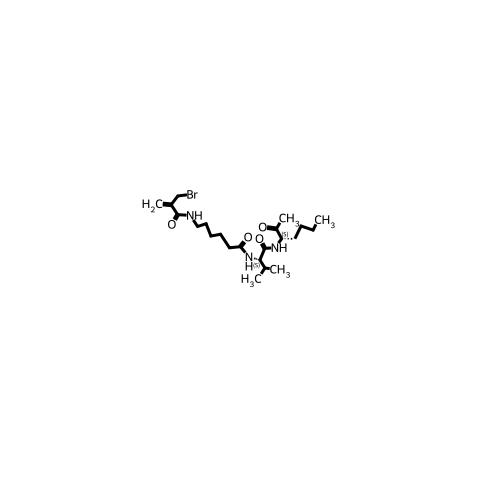 C=C(CBr)C(=O)NCCCCCC(=O)N[C@H](C(=O)N[C@@H](CCCC)C(C)=O)C(C)C